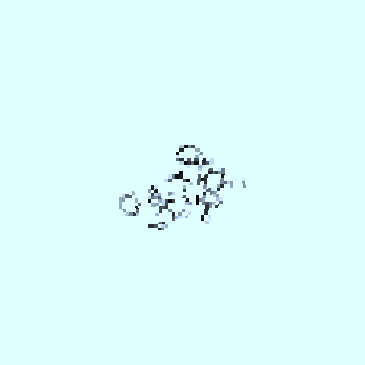 CC(OC(=O)c1ccccc1)[C@@H](O[C@@H](CO)COC(=O)c1ccccc1)n1c(=O)sc2c(O)nc(N)nc21